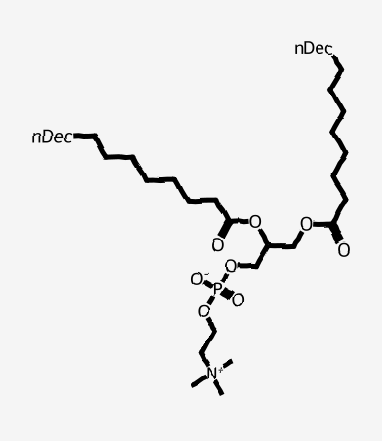 CCCCCCCCCCCCCCCCCC(=O)OCC(COP(=O)([O-])OCC[N+](C)(C)C)OC(=O)CCCCCCCCCCCCCCCCC